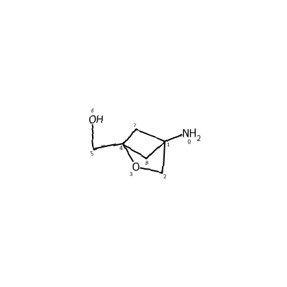 NC12COC(CO)(C1)C2